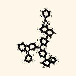 C1=CC2c3ccccc3N(c3ccccc3)C2C=C1N(c1ccc(-c2cccc3ccccc23)cc1)c1ccc(-c2cccc3c2ccc2nc(-c4ccccc4)oc23)cc1